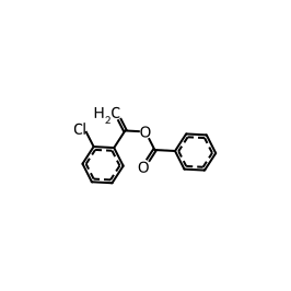 C=C(OC(=O)c1ccccc1)c1ccccc1Cl